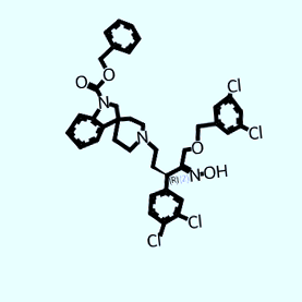 O=C(OCc1ccccc1)N1CC2(CCN(CC[C@@H](/C(COCc3cc(Cl)cc(Cl)c3)=N/O)c3ccc(Cl)c(Cl)c3)CC2)c2ccccc21